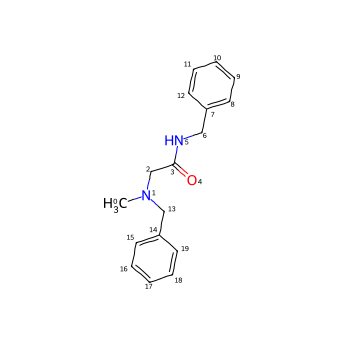 CN(CC(=O)NCc1ccccc1)Cc1ccccc1